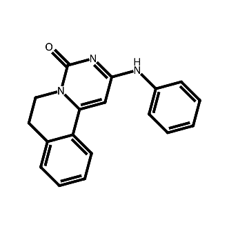 O=c1nc(Nc2ccccc2)cc2n1CCc1ccccc1-2